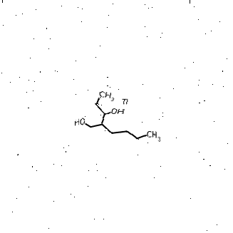 CCCCC(CO)C(O)CC.[Ti]